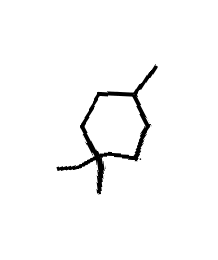 CC1C[CH]C(C)(C)CC1